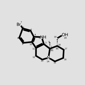 C[C@@]12c3[nH]c4cc(Br)ccc4c3CCN1CCC[C@H]2CO